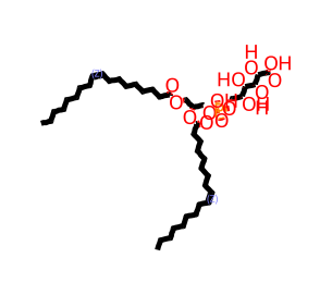 CCCCCCCC/C=C\CCCCCCCC(=O)OCC(COP(=O)(O)OCC(O)C(O)C(O)C(O)C(=O)O)OC(=O)CCCCCCC/C=C\CCCCCCCC